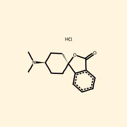 CN(C)[C@H]1CC[C@]2(CC1)OC(=O)c1ccccc12.Cl